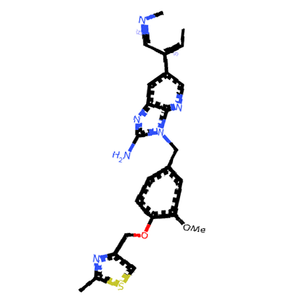 C/C=C(\C=N/C)c1cnc2c(c1)nc(N)n2Cc1ccc(OCc2csc(C)n2)c(OC)c1